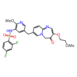 COCCOC1=CN=C2C=CC(Cc3cnc(OC)c(NS(=O)(=O)c4ccc(F)cc4F)c3)=CN2CC1=O